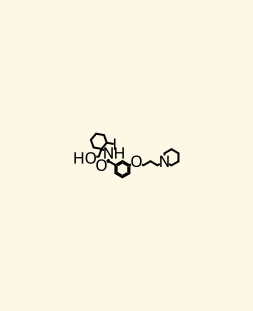 O=C(NC1(CO)CCCCC1I)c1cccc(OCCCN2CCCCC2)c1